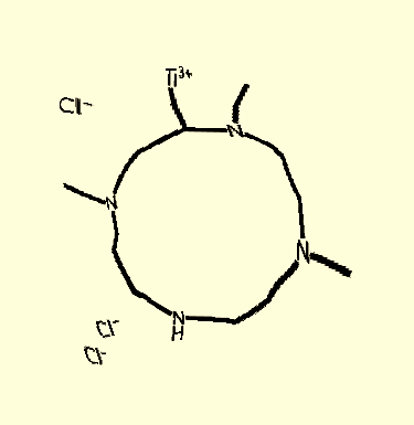 CN1CCNCCN(C)C[CH]([Ti+3])N(C)CC1.[Cl-].[Cl-].[Cl-]